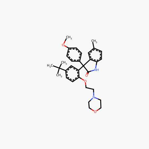 COc1ccc(C2(c3cc(C(C)(C)C)ccc3OCCN3CCOCC3)C(=O)Nc3ccc(C)cc32)cc1